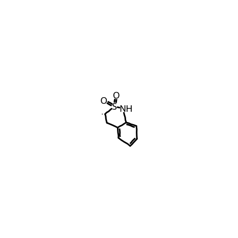 O=S1(=O)[CH]Cc2ccccc2N1